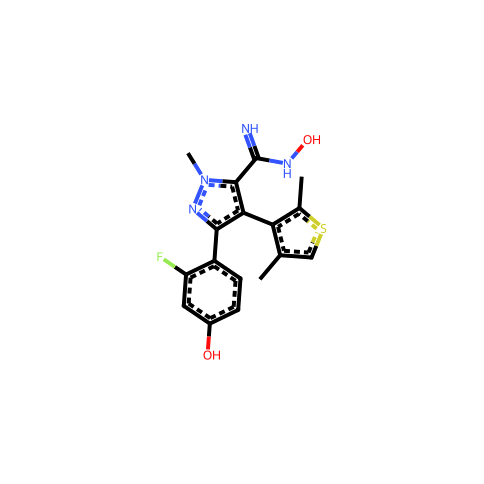 Cc1csc(C)c1-c1c(-c2ccc(O)cc2F)nn(C)c1C(=N)NO